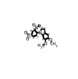 COc1cc2c(cc1OC)N(c1ccc([N+](=O)[O-])cc1[N+](=O)[O-])CC2